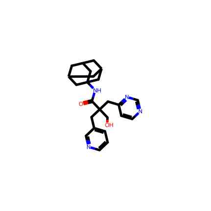 O=C(NC12CC3CC(CC(C3)C1)C2)C(CO)(Cc1cccnc1)Cc1ccncn1